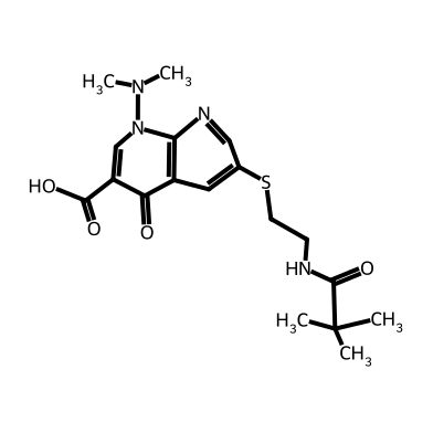 CN(C)n1cc(C(=O)O)c(=O)c2cc(SCCNC(=O)C(C)(C)C)cnc21